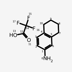 Nc1ccc2c(c1)CCCC2.O=C(O)C(F)(F)F